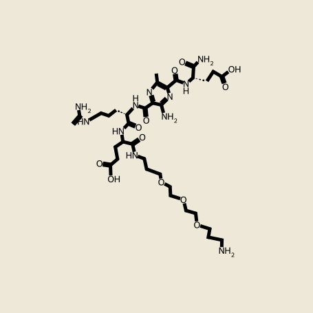 C=C(N)NCCC[C@H](NC(=O)c1nc(C)c(C(=O)N[C@@H](CCC(=O)O)C(N)=O)nc1N)C(=O)NC(CCC(=O)O)C(=O)NCCCOCCOCCOCCCN